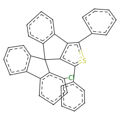 Clc1cccc2c1C1(c3ccccc3-2)c2ccccc2-c2c(-c3ccccc3)sc(-c3ccccc3)c21